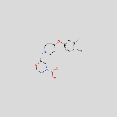 O=C(O)N1CCOC(CN2CCC(Oc3ccc(Cl)c(Cl)c3)CC2)C1